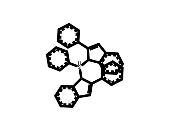 C1=C(c2ccccc2)C([SiH](c2ccccc2)C2C(c3ccccc3)=Cc3ccccc32)c2ccccc21